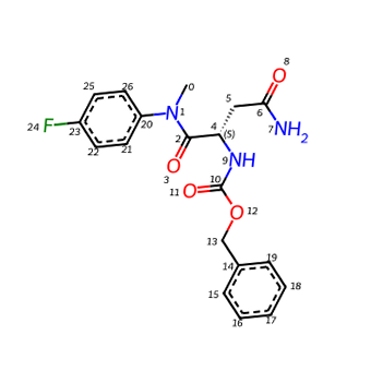 CN(C(=O)[C@H](CC(N)=O)NC(=O)OCc1ccccc1)c1ccc(F)cc1